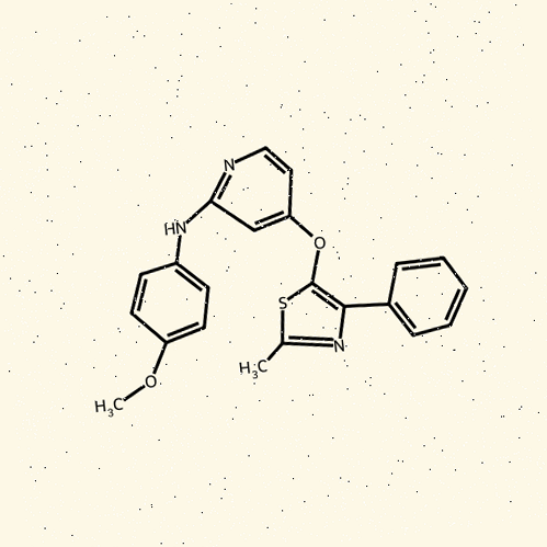 COc1ccc(Nc2cc(Oc3sc(C)nc3-c3ccccc3)ccn2)cc1